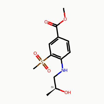 COC(=O)c1ccc(NC[C@H](C)O)c(S(C)(=O)=O)c1